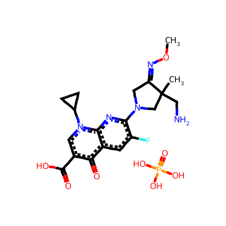 CON=C1CN(c2nc3c(cc2F)c(=O)c(C(=O)O)cn3C2CC2)CC1(C)CN.O=P(O)(O)O